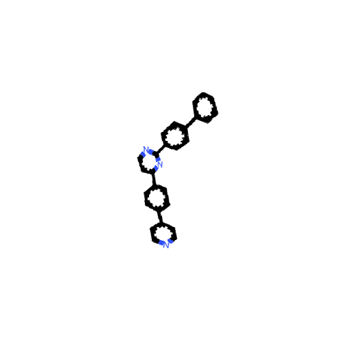 c1ccc(-c2ccc(-c3nccc(-c4ccc(-c5ccncc5)cc4)n3)cc2)cc1